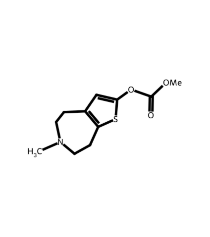 COC(=O)Oc1cc2c(s1)CCN(C)CC2